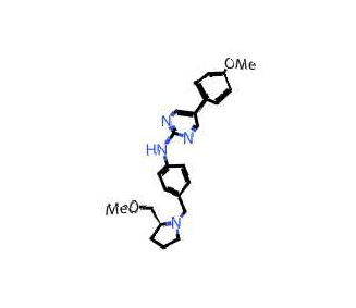 COC[C@@H]1CCCN1Cc1ccc(Nc2ncc(-c3ccc(OC)cc3)cn2)cc1